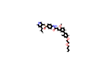 CCCCOCCOC1=CC(C)C(c2ccc(OC)c(/C=C/C(=O)Nc3ccc([S@@+]([O-])Cc4cnccc4CCC)cc3)c2)C=C1